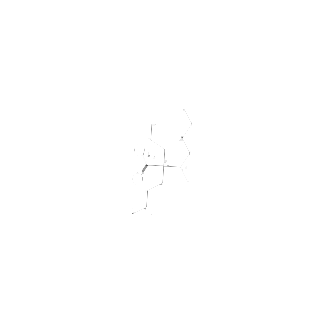 CCCCC(C)C(CCC)(CCCC)C([O])=O